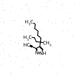 C#Cc1n[nH]cc1C(C)(CCC)CCCCCC